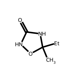 CCC1(C)NC(=O)NO1